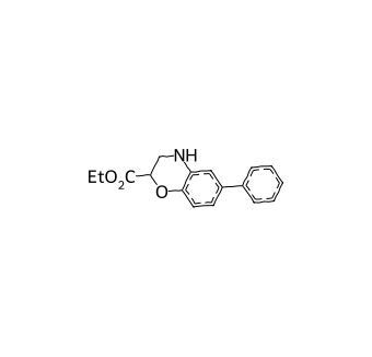 CCOC(=O)C1CNc2cc(-c3ccccc3)ccc2O1